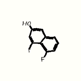 Oc1cc(I)c2c(F)cccc2c1